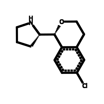 Clc1ccc2c(c1)CCO[C@H]2[C@@H]1CCCN1